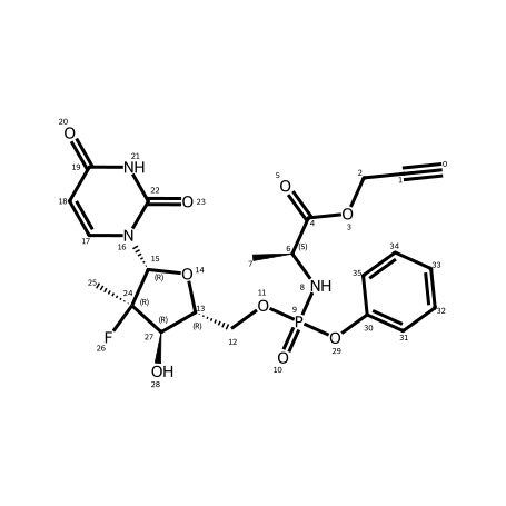 C#CCOC(=O)[C@H](C)NP(=O)(OC[C@H]1O[C@@H](n2ccc(=O)[nH]c2=O)[C@](C)(F)[C@@H]1O)Oc1ccccc1